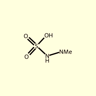 CNNS(=O)(=O)O